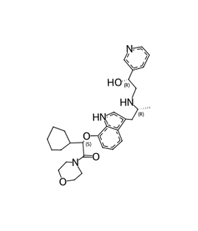 C[C@H](Cc1c[nH]c2c(O[C@H](C(=O)N3CCOCC3)C3CCCCC3)cccc12)NC[C@H](O)c1cccnc1